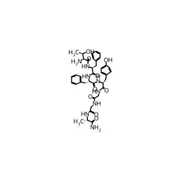 C[C@H](NC(=O)CNC(=O)CNC(=O)[C@H](Cc1ccc(O)cc1)NC(=O)[C@H](Cc1ccccc1)NC(=O)[C@H](Cc1ccccc1)NC(=O)[C@@H](N)[C@@H](C)O)C(N)=O